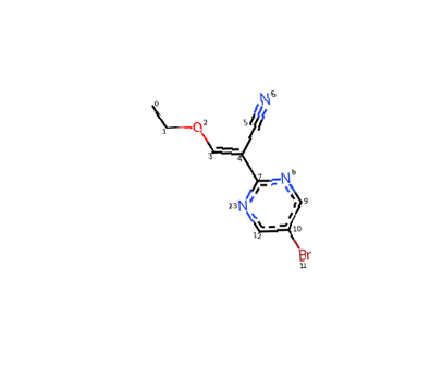 CCOC=C(C#N)c1ncc(Br)cn1